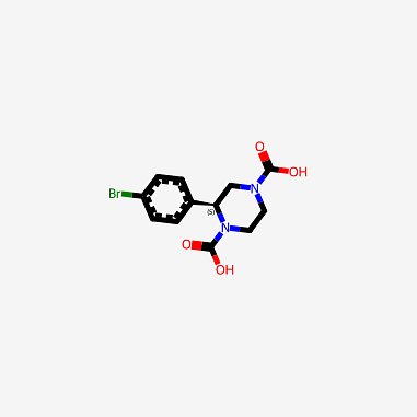 O=C(O)N1CCN(C(=O)O)[C@@H](c2ccc(Br)cc2)C1